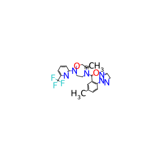 Cc1ccc(-n2nccn2)c(C(=O)N2CCN(c3cccc(C(F)(F)F)n3)OC[C@H]2C)c1